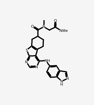 CNC(=O)CN(C)C(=O)C1CCc2c(sc3ncnc(Nc4ccc5[nH]ncc5c4)c23)C1